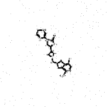 Cc1ncc(F)c2c1CC(CN1CC(C3CN(C4=CNCC=N4)C(=O)O3)C1)C2